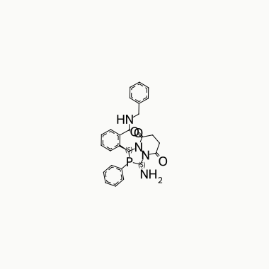 N[C@H]1N2C(=O)CCC(=O)N2[C@H](c2ccccc2C(=O)NCc2ccccc2)P1c1ccccc1